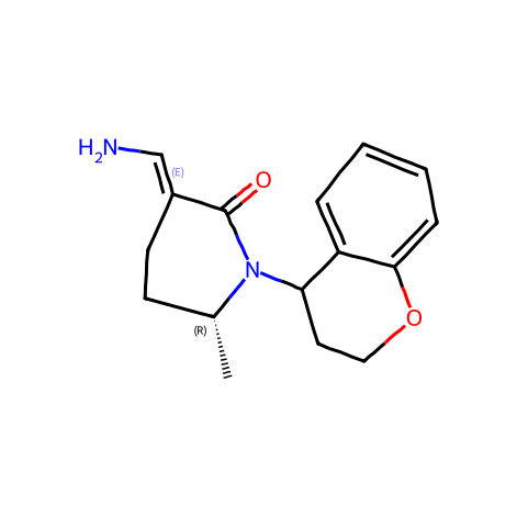 C[C@@H]1CC/C(=C\N)C(=O)N1C1CCOc2ccccc21